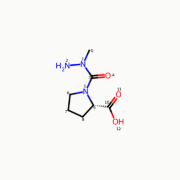 CN(N)C(=O)N1CCC[C@H]1C(=O)O